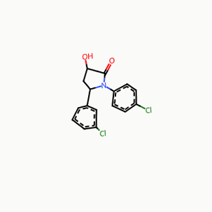 O=C1C(O)CC(c2cccc(Cl)c2)N1c1ccc(Cl)cc1